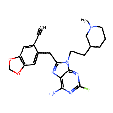 C#Cc1cc2c(cc1Cc1nc3c(N)nc(F)nc3n1CCC1CCCN(C)C1)OCO2